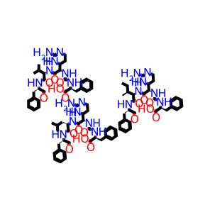 CC(C)C[C@H](NC(=O)[C@@H](NC(=O)N[C@@H](Cc1ccccc1)C(=O)O)C1CCN=C(N)N1)C(=O)N[C@H](C=O)Cc1ccccc1.CC(C)[C@H](NC(=O)[C@@H](NC(=O)N[C@@H](Cc1ccccc1)C(=O)O)C1CCN=C(N)N1)C(=O)N[C@H](C=O)Cc1ccccc1.CC[C@H](C)[C@H](NC(=O)[C@@H](NC(=O)N[C@@H](Cc1ccccc1)C(=O)O)C1CCN=C(N)N1)C(=O)N[C@H](C=O)Cc1ccccc1